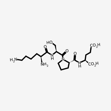 NCCCC[C@H](N)C(=O)N[C@@H](CO)C(=O)N1CCC[C@H]1C(=O)N[C@@H](CCC(=O)O)C(=O)O